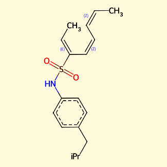 C\C=C/C=C\C(=C/C)S(=O)(=O)Nc1ccc(CC(C)C)cc1